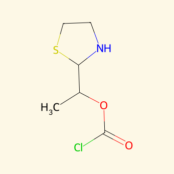 CC(OC(=O)Cl)C1NCCS1